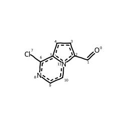 O=Cc1ccc2c(Cl)nccn12